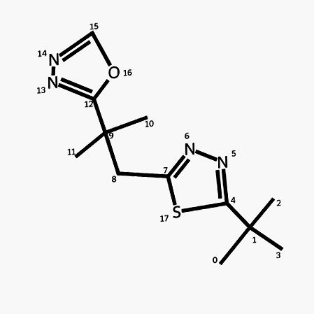 CC(C)(C)c1nnc(CC(C)(C)c2nnco2)s1